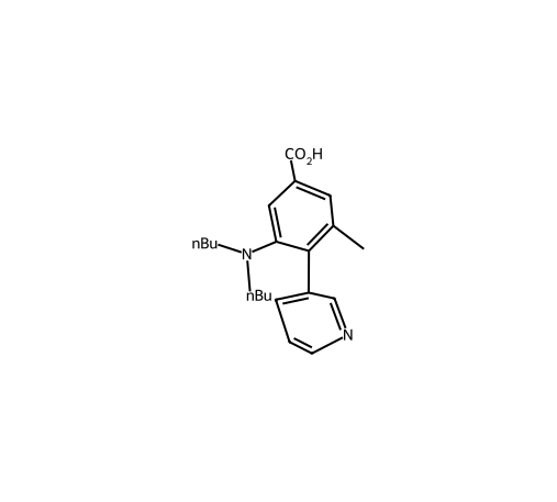 CCCCN(CCCC)c1cc(C(=O)O)cc(C)c1-c1cccnc1